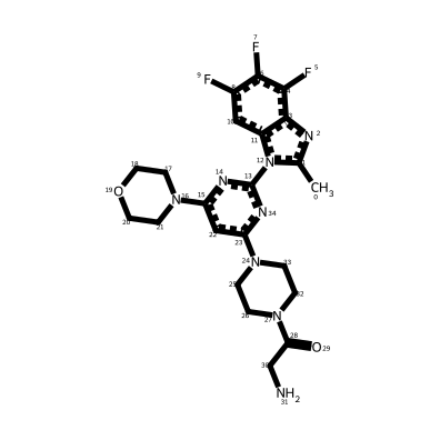 Cc1nc2c(F)c(F)c(F)cc2n1-c1nc(N2CCOCC2)cc(N2CCN(C(=O)CN)CC2)n1